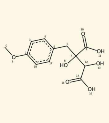 COc1ccc(CC(O)(C(=O)O)C(O)C(=O)O)cc1